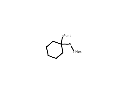 CCCCCC[N]C1(CCCCC)CCCCC1